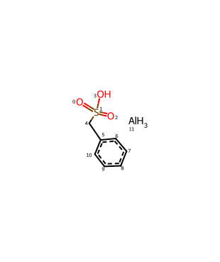 O=S(=O)(O)Cc1ccccc1.[AlH3]